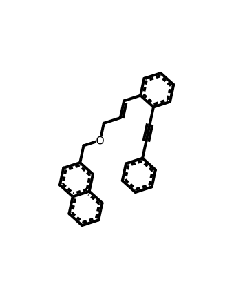 C(#Cc1ccccc1/C=C/COCc1ccc2ccccc2c1)c1ccccc1